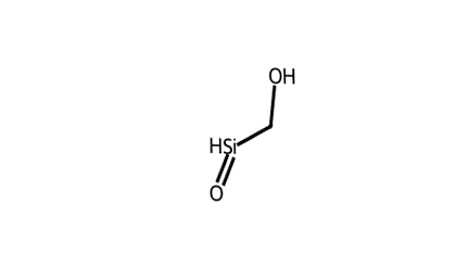 O=[SiH]CO